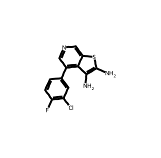 Nc1sc2cncc(-c3ccc(F)c(Cl)c3)c2c1N